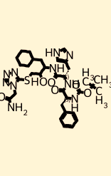 CC(C)(C)OC(=O)N[C@@H](Cc1ccccc1)C(=O)N[C@@H](Cc1c[nH]cn1)C(=O)NC(CC1CCCCC1)C(O)CSc1nnnn1CC(N)=O